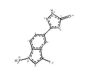 O=c1[nH]nc(-c2ccc3c(c2)c(I)cn3P)o1